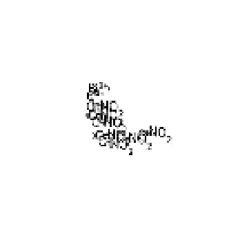 O=[N+]([O-])[O-].O=[N+]([O-])[O-].O=[N+]([O-])[O-].O=[N+]([O-])[O-].O=[N+]([O-])[O-].O=[N+]([O-])[O-].O=[N+]([O-])[O-].[Bi+3].[C+4]